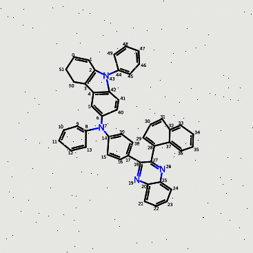 C1=Cc2c(c3cc(N(c4ccccc4)c4ccc(-c5nc6ccccc6nc5-c5cccc6ccccc56)cc4)ccc3n2-c2ccccc2)CC1